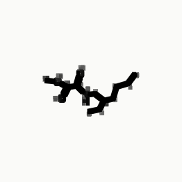 CCCCC(CC)CNC(=O)C(=O)OC